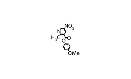 COc1ccc(OC(=O)c2cc([N+](=O)[O-])cnc2C)cc1